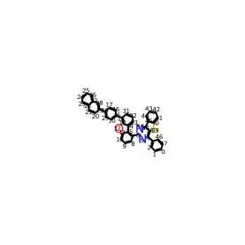 c1ccc(-c2nc(-c3cccc4oc5c(-c6ccc(-c7ccc8ccccc8c7)cc6)cccc5c34)nc3c2sc2ccccc23)cc1